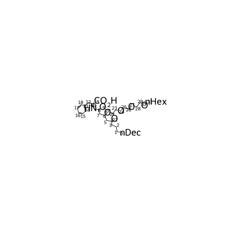 CCCCCCCCCCCCCCCC(CC(=O)N[C@@H](Cc1ccccc1)C(=O)O)OC(=O)COCCOCCOCCCCCC